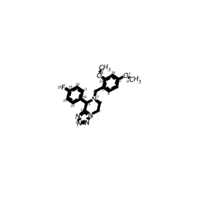 COc1ccc(CN2CCn3nnnc3C2c2ccc(F)cc2)c(OC)c1